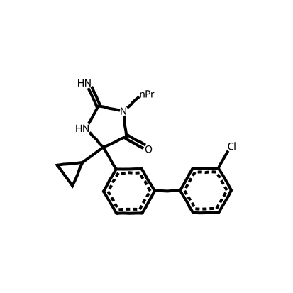 CCCN1C(=N)NC(c2cccc(-c3cccc(Cl)c3)c2)(C2CC2)C1=O